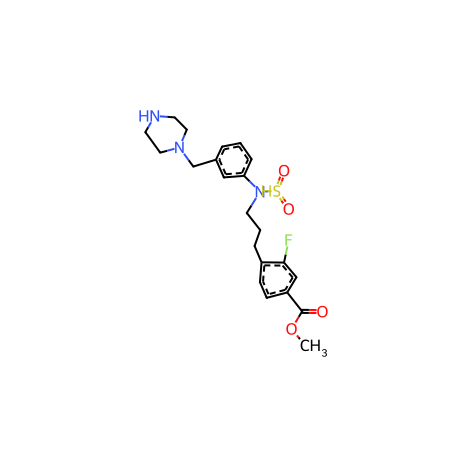 COC(=O)c1ccc(CCCN(c2cccc(CN3CCNCC3)c2)[SH](=O)=O)c(F)c1